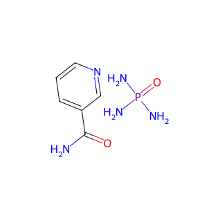 NC(=O)c1cccnc1.NP(N)(N)=O